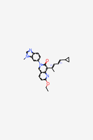 CCOc1ccc2cn(-c3ccc4ncn(C)c4c3)c(=O)c(/C(C)=C/C=C/C3CC3)c2n1